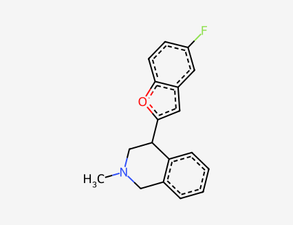 CN1Cc2ccccc2C(c2cc3cc(F)ccc3o2)C1